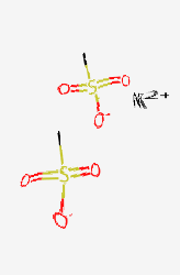 CS(=O)(=O)[O-].CS(=O)(=O)[O-].[Ni+2]